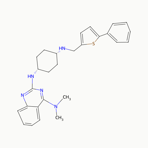 CN(C)c1nc(N[C@H]2CC[C@@H](NCc3ccc(-c4ccccc4)s3)CC2)nc2ccccc12